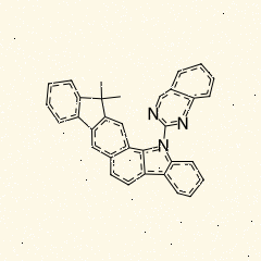 CC1(C)c2ccccc2-c2cc3ccc4c5ccccc5n(-c5ncc6ccccc6n5)c4c3cc21